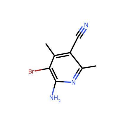 Cc1nc(N)c(Br)c(C)c1C#N